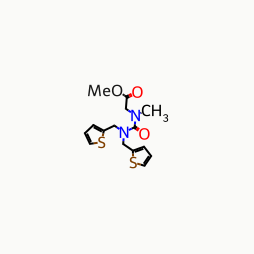 COC(=O)CN(C)C(=O)N(Cc1cccs1)Cc1cccs1